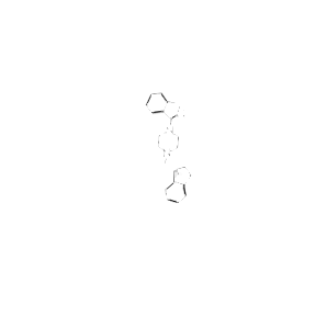 c1ccc2c(c1)CC[C@H]2CN1CCN(c2nsc3ccccc23)CC1